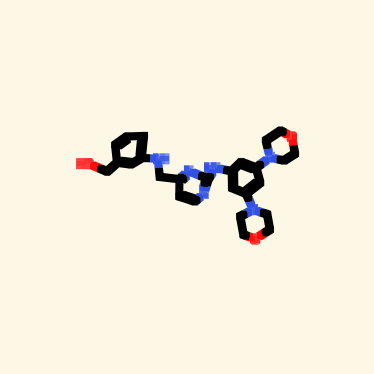 OCc1cccc(NCc2ccnc(Nc3cc(N4CCOCC4)cc(N4CCOCC4)c3)n2)c1